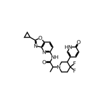 CC(C(=O)Nc1ccc2oc(C3CC3)nc2n1)N1CCC(F)(F)C(c2ccc(=O)[nH]c2)C1